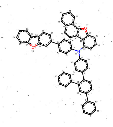 c1ccc(-c2ccc(-c3ccc(N(c4ccc(-c5ccc6c(c5)oc5ccccc56)cc4)c4cccc5oc6c7ccccc7ccc6c45)cc3)c(-c3ccccc3)c2)cc1